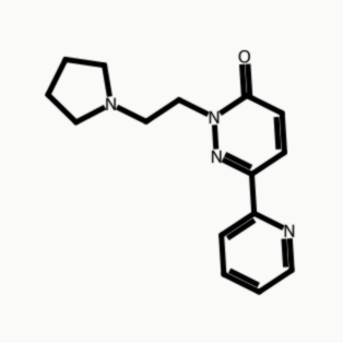 O=c1ccc(-c2ccccn2)nn1CCN1CCCC1